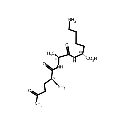 C[C@H](NC(=O)[C@@H](N)CCC(N)=O)C(=O)N[C@H](CCCCN)C(=O)O